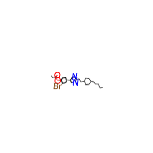 CCCCCC1CCC(CCc2ncc(-c3ccc(OC(=O)CC)c(Br)c3)cn2)CC1